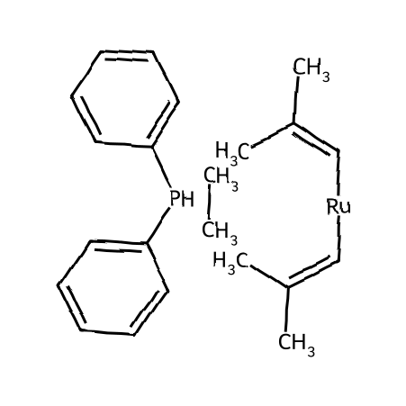 CC.CC(C)=[CH][Ru][CH]=C(C)C.c1ccc(Pc2ccccc2)cc1